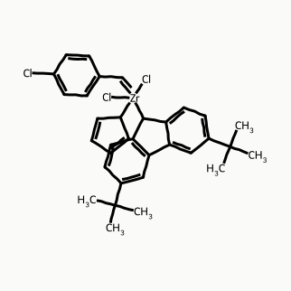 CC(C)(C)c1ccc2c(c1)-c1cc(C(C)(C)C)ccc1[CH]2[Zr]([Cl])([Cl])(=[CH]c1ccc(Cl)cc1)[CH]1C=CC=C1